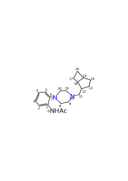 CC(=O)Nc1ccccc1N1CCN(CC2CCC3CCC32)CC1